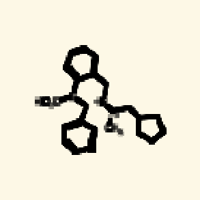 C[C@@H](CC1CCCC1)NCc1ccccc1N(Cc1cccnc1)C(=O)O